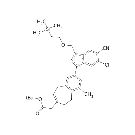 Cc1cc(-c2cn(COCC[Si](C)(C)C)c3cc(C#N)c(Cl)cc23)cc2c1CCC(CC(=O)OC(C)(C)C)=CC2